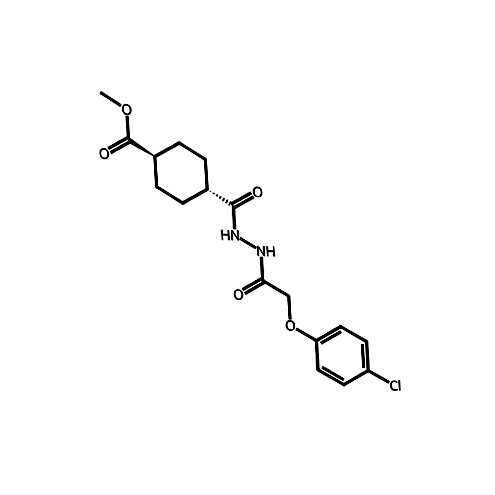 COC(=O)[C@H]1CC[C@H](C(=O)NNC(=O)COc2ccc(Cl)cc2)CC1